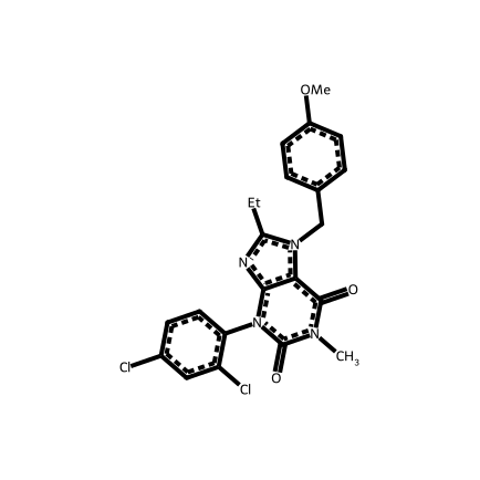 CCc1nc2c(c(=O)n(C)c(=O)n2-c2ccc(Cl)cc2Cl)n1Cc1ccc(OC)cc1